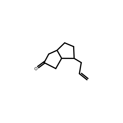 C=CCC1CCC2CC(=O)CC12